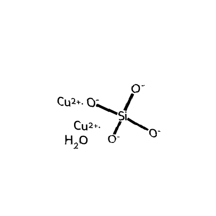 O.[Cu+2].[Cu+2].[O-][Si]([O-])([O-])[O-]